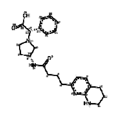 O=C(CCCc1ccc2c(n1)NCCC2)N[C@@H]1CCN([C@H](C(=O)O)c2ccccc2)C1